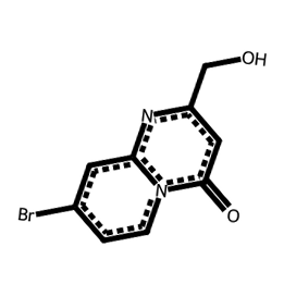 O=c1cc(CO)nc2cc(Br)ccn12